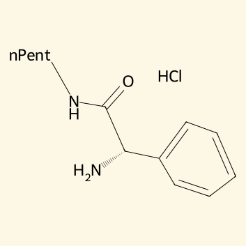 CCCCCNC(=O)[C@@H](N)c1ccccc1.Cl